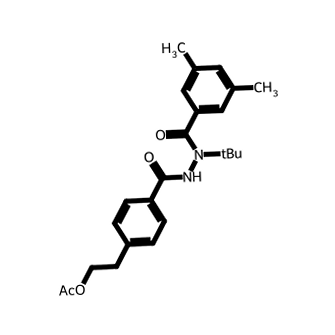 CC(=O)OCCc1ccc(C(=O)NN(C(=O)c2cc(C)cc(C)c2)C(C)(C)C)cc1